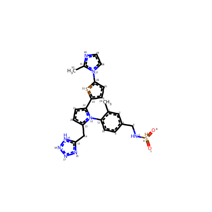 Cc1cc(CN[SH](=O)=O)ccc1-n1c(Cc2nnn[nH]2)ccc1-c1ccc(-n2ccnc2C)s1